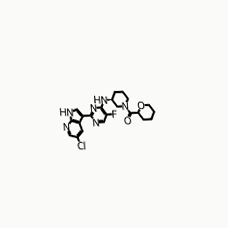 O=C(C1CCCCO1)N1CCC[C@H](Nc2nc(-c3c[nH]c4ncc(Cl)cc34)ncc2F)C1